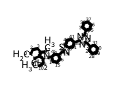 C=C/C=C\c1c(C=C)c(/C=C\C)n(-c2cccc(-c3nc4cc(-c5nc(-c6ccccc6)nc(-c6ccccc6)n5)ccc4s3)c2)c1C